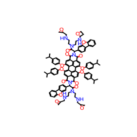 CC(C)c1ccc(Oc2cc3c4c(cc(Oc5ccc(C(C)C)cc5)c5c6c(Oc7ccc(C(C)C)cc7)cc7c8c(cc(Oc9ccc(C(C)C)cc9)c(c2c45)c86)C(=O)N(C(C(=O)N(CCNCC2CO2)CCNC2CCO2)c2ccc4c(c2)oc2ccccc24)C7=O)C(=O)N(C(C(=O)N(CCNCC2CO2)CCNCC2CO2)c2ccc4c(c2)oc2ccccc24)C3=O)cc1